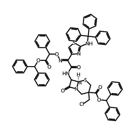 O=C(NC1C(=O)N2CC(CCl)(C(=O)OC(c3ccccc3)c3ccccc3)CS[C@H]12)C(=NOC(C(=O)OC(c1ccccc1)c1ccccc1)c1ccccc1)c1csc(NC(c2ccccc2)(c2ccccc2)c2ccccc2)n1